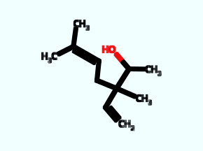 C=CC(C)(CC=C(C)C)C(C)O